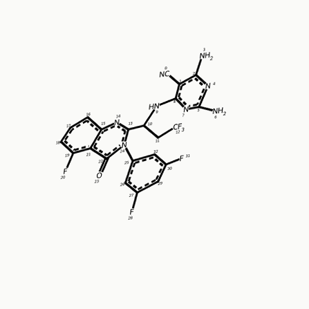 N#Cc1c(N)nc(N)nc1NC(CC(F)(F)F)c1nc2cccc(F)c2c(=O)n1-c1cc(F)cc(F)c1